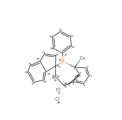 ClC12C=CC=C3[C](=CC=C31)[Zr+2][C]1(C=Cc3ccccc31)P2c1ccccc1.[Cl-].[Cl-]